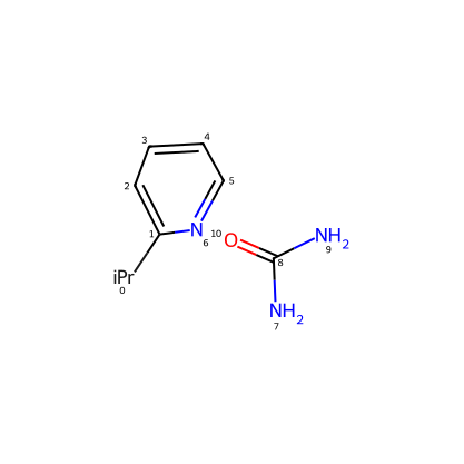 CC(C)c1ccccn1.NC(N)=O